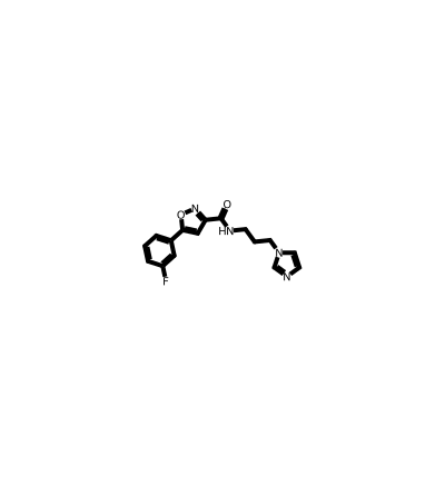 O=C(NCCCn1ccnc1)c1cc(-c2cccc(F)c2)on1